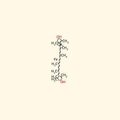 CC1=C[C@H](O)CC(C)(C)[C@H]1/C=C/C(C)=C/C=C/C(C)=C/C=C/C=C(C)/C=C/C=C(C)/C=C/C1=C(C)C[C@@H](O)CC1(C)C.[Fe]